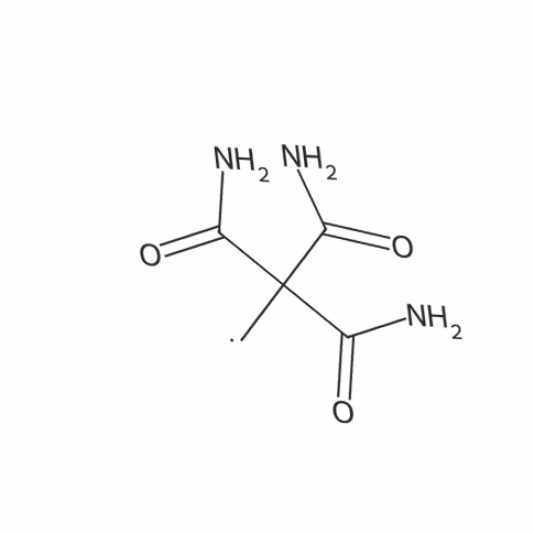 [CH2]C(C(N)=O)(C(N)=O)C(N)=O